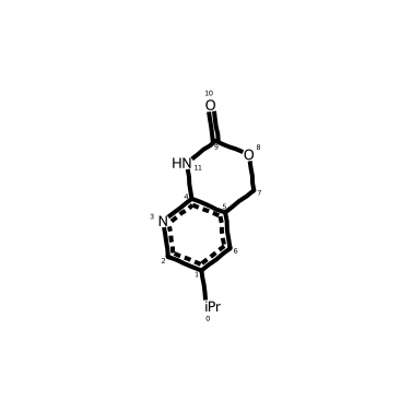 CC(C)c1cnc2c(c1)COC(=O)N2